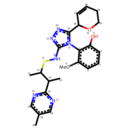 COc1cccc(O)c1-n1c(NSC(C)C(C)c2ncc(C)cn2)nnc1C1C=CCCO1